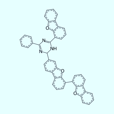 c1ccc(C2=NC(c3ccc4c(c3)oc3c(-c5cccc6c5oc5ccccc56)cccc34)NC(c3cccc4c3oc3ccccc34)=N2)cc1